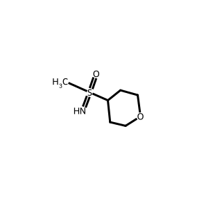 CS(=N)(=O)C1CCOCC1